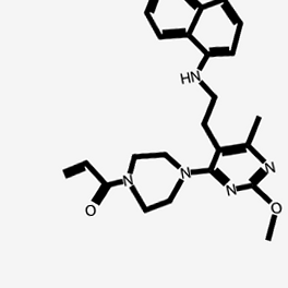 C=CC(=O)N1CCN(c2nc(OC)nc(C)c2CCNc2cccc3ccccc23)CC1